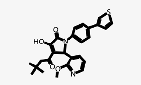 COc1ncccc1C1C(C(=O)CC(C)(C)C)=C(O)C(=O)N1c1ccc(-c2ccsc2)cc1